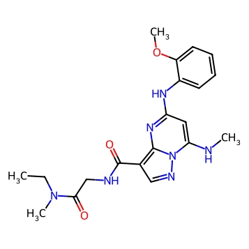 CCN(C)C(=O)CNC(=O)c1cnn2c(NC)cc(Nc3ccccc3OC)nc12